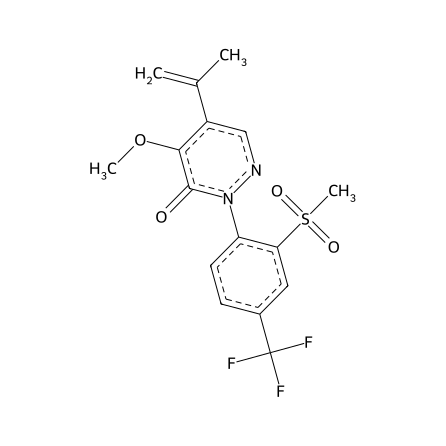 C=C(C)c1cnn(-c2ccc(C(F)(F)F)cc2S(C)(=O)=O)c(=O)c1OC